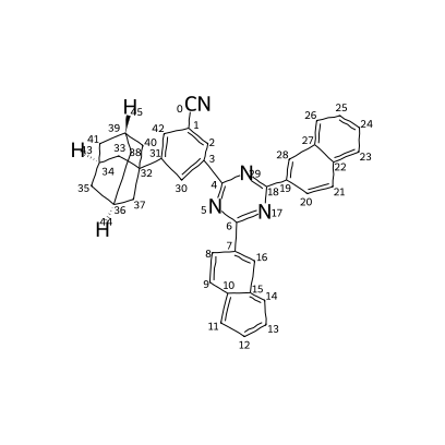 N#Cc1cc(-c2nc(-c3ccc4ccccc4c3)nc(-c3ccc4ccccc4c3)n2)cc(C23C[C@H]4C[C@H](C2)C[C@@H](C3)C4)c1